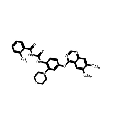 COc1cc2ncnc(Oc3ccc(NC(=S)NC(=O)c4ccccc4C)c(N4CCOCC4)c3)c2cc1OC